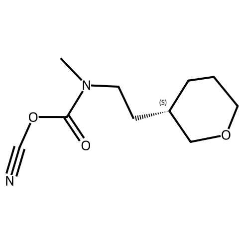 CN(CC[C@@H]1CCCOC1)C(=O)OC#N